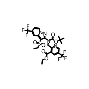 CCOC(=O)c1cc(C(F)(F)F)cnc1CN(C(=O)OC(C)(C)C)c1nn2ccc(C(F)(F)F)cc2c1S(=O)(=O)CC